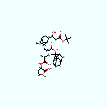 C[C@@H](C[C@@H](C[C@@H]1C2CC(CC2C(O)CC(=O)OC(C)(C)C)[C@@H]1C)C(=O)OC1(C)C2CC3CC(C2)CC1C3)C(=O)OC1CCOC1=O